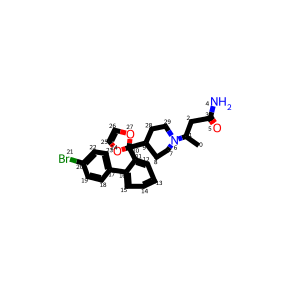 CC(CC(N)=O)N1CCC(C2(c3ccccc3-c3ccc(Br)cc3)OC=CO2)CC1